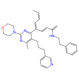 C=C(/C=C/C(=C\C=C/C)c1nc(N2CCOCC2)nc(C)c1CCCc1cccnc1)NCCc1ccccc1